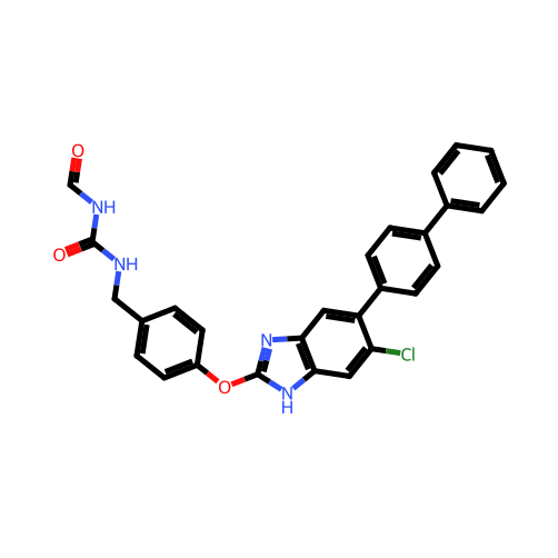 O=CNC(=O)NCc1ccc(Oc2nc3cc(-c4ccc(-c5ccccc5)cc4)c(Cl)cc3[nH]2)cc1